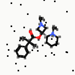 CN1CC(OC(=O)[C@@](C)(c2ccccc2)C(F)(F)F)([C@H]2CCCCN2C)C1